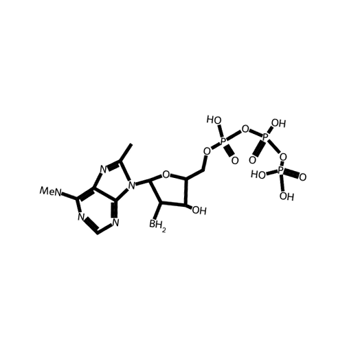 BC1C(O)C(COP(=O)(O)OP(=O)(O)OP(=O)(O)O)OC1n1c(C)nc2c(NC)ncnc21